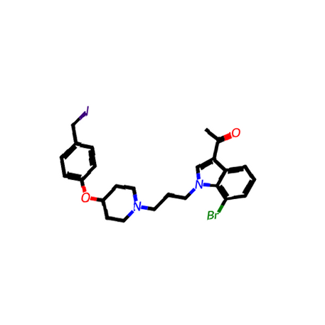 CC(=O)c1cn(CCCN2CCC(Oc3ccc(CI)cc3)CC2)c2c(Br)cccc12